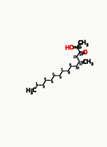 CCCCCCCCCCCC(C)CC(=O)[C@H](C)O